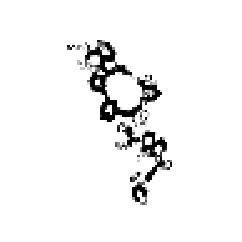 CCn1c(-c2cccnc2[C@H](C)OC)c2c3cc(ccc31)-c1cccc(c1)C[C@H](NC(=O)C(C(C)C)N1CC[C@]3(CCN(C(=O)C#C[C@@]4(N(C)C)CCOC4)C3)C1=O)C(=O)N1CCC[C@H](N1)C(=O)OCC(C)(C)C2